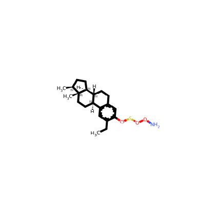 CCc1cc2c(cc1OSOON)CC[C@@H]1[C@@H]2CC[C@]2(C)[C@@H](C)CC[C@@H]12